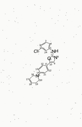 Clc1cccc(Nc2ncc(-c3ccc(N4CC=CCC4)cc3)o2)c1